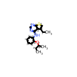 CCc1csc2ncnc(Nc3ccccc3OC(C)CC)c12